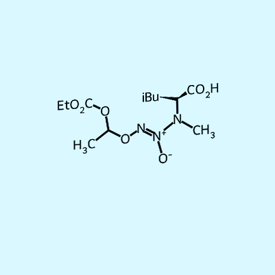 CCOC(=O)OC(C)O/N=[N+](\[O-])N(C)[C@H](C(=O)O)[C@H](C)CC